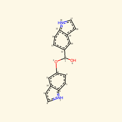 OB(Oc1ccc2[nH]ccc2c1)c1ccc2[nH]ccc2c1